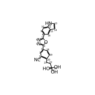 N#Cc1cc(-c2nnc(-c3ccc4[nH]ccc4c3)o2)ccc1CCC(O)(O)O